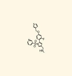 CNCc1cc(-c2ccc(OCc3ccsc3)cc2F)n(S(=O)(=O)c2cccnc2)c1